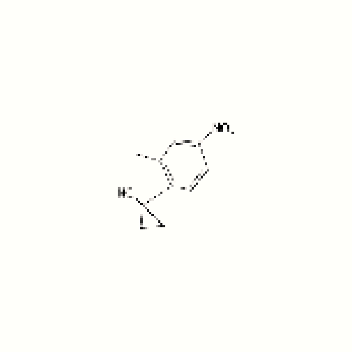 Cc1cc([N+](=O)[O-])ccc1C1(C#N)CC1